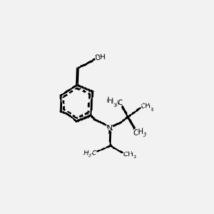 CC(C)N(c1cccc(CO)c1)C(C)(C)C